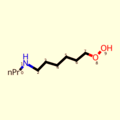 CCCNCCCCCCOO